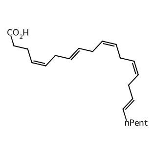 CCCCC/C=C/C/C=C\C/C=C\C/C=C/C/C=C\CCC(=O)O